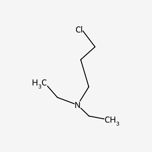 CCN(CC)CCCCl